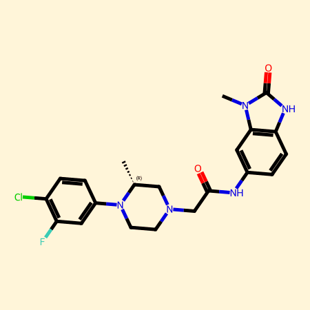 C[C@@H]1CN(CC(=O)Nc2ccc3[nH]c(=O)n(C)c3c2)CCN1c1ccc(Cl)c(F)c1